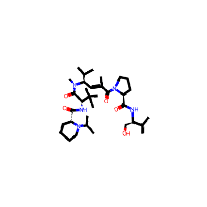 C/C(=C\[C@H](C(C)C)N(C)C(=O)[C@@H](NC(=O)[C@H]1CCCCN1C(C)C)C(C)(C)C)C(=O)N1CCC[C@H]1C(=O)N[C@H](CO)C(C)C